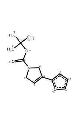 CC(C)(C)OC(=O)N1CC=C(c2ccco2)C1